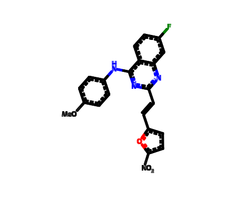 COc1ccc(Nc2nc(/C=C/c3ccc([N+](=O)[O-])o3)nc3cc(F)ccc23)cc1